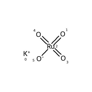 [K+].[O]=[Ru](=[O])(=[O])[O-]